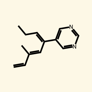 C=C/C(C)=C/C(=C\CC)c1cncnc1